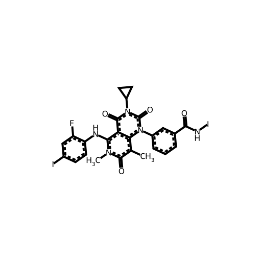 Cc1c(=O)n(C)c(Nc2ccc(I)cc2F)c2c(=O)n(C3CC3)c(=O)n(-c3cccc(C(=O)NI)c3)c12